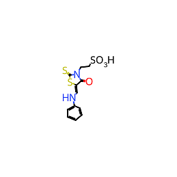 O=C1/C(=C/Nc2ccccc2)SC(=S)N1CCS(=O)(=O)O